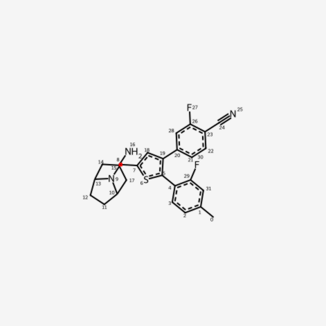 Cc1ccc(-c2sc(CN3C4CCC3CC(N)C4)cc2-c2ccc(C#N)c(F)c2)c(F)c1